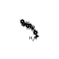 Nc1ccccc1NC(=O)c1ccc2c(c1)CCC2NC(=O)OCc1ccc([C@H]2C[C@@H]2N)cc1